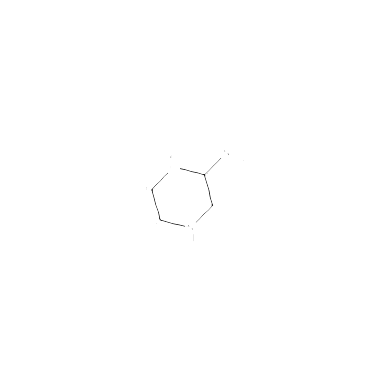 O=[N+]([O-])C1CNC[CH]O1